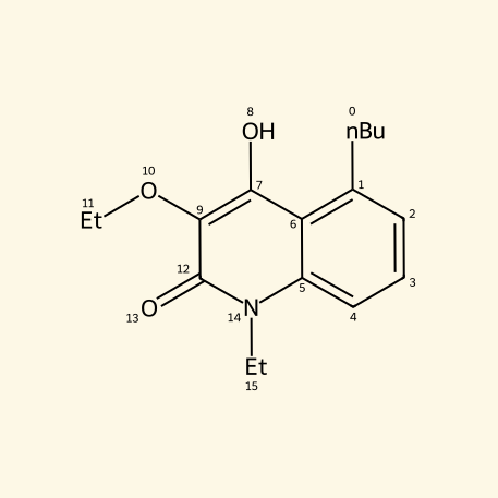 CCCCc1cccc2c1c(O)c(OCC)c(=O)n2CC